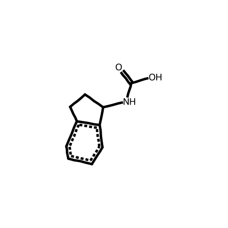 O=C(O)NC1CCc2ccccc21